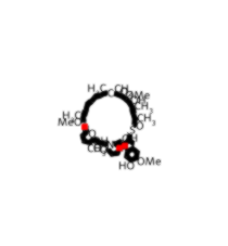 CO[C@H]1C[C@@H]2CC[C@@H](C)[C@@](O)(O2)C(=O)C(=O)N2CCC[C@@H]3C(C[C@@H]4CC[C@@H](O)[C@H](OC)C4)[C@@H](OC(=O)[C@H]32)SC(=O)[C@H](C)/C=C(\C)[C@@H](O)[C@@H](OC)C(=O)[C@H](C)C[C@H](C)/C=C/C=C/C=C/1C